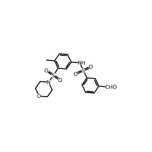 Cc1ccc(NS(=O)(=O)c2cccc(C=O)c2)cc1S(=O)(=O)N1CCOCC1